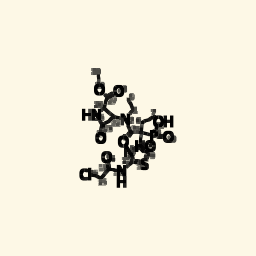 CCN(C(=O)C(CC)(c1csc(NC(=O)CCl)n1)P(=O)(O)O)C1C(=O)NC1C(=O)OC